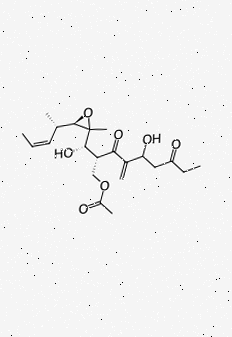 C=C(C(=O)[C@H](COC(C)=O)[C@H](O)C1(C)O[C@@H]1[C@@H](C)/C=C\C)C(O)CC(=O)CC